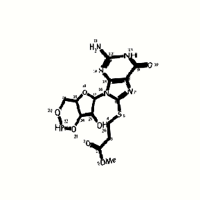 COC(=O)CCSc1nc2c(=O)[nH]c(N)nc2n1C1OC2COPOC2C1O